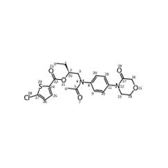 CC[C@@H](CN(C(C)=O)c1ccc(N2CCOCC2=O)cc1)OC(=O)c1ccc(Cl)s1